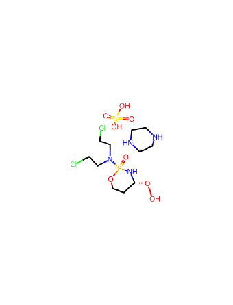 C1CNCCN1.O=S(=O)(O)O.O=[P@]1(N(CCCl)CCCl)N[C@H](OO)CCO1